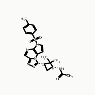 CC(=O)N[C@@H]1C[C@H](c2nnc3cnc4c(ccn4S(=O)(=O)c4ccc(C)cc4)n23)C1(C)C